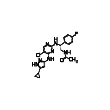 CC(=O)NC[C@H](Nc1ncc(Cl)c(Nc2cc(C3CC3)[nH]n2)n1)c1ccc(F)cc1